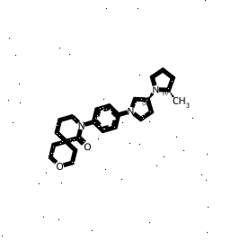 C[C@H]1CCCN1[C@H]1CCN(c2ccc(N3CCCC4(CCOCC4)C3=O)cc2)C1